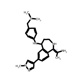 C/C(N)=C1/NCCC(Nc2ccc(CN(C)C)cc2)c2cc(-c3cnn(C)c3)ccc21